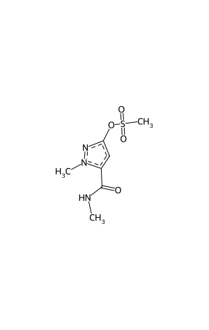 CNC(=O)c1cc(OS(C)(=O)=O)nn1C